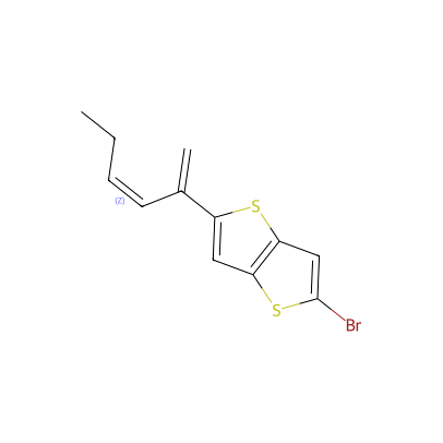 C=C(/C=C\CC)c1cc2sc(Br)cc2s1